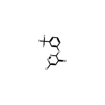 N=C1C=C(Cl)N=NC1Oc1cccc(C(F)(F)F)c1